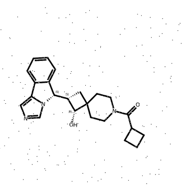 O=C(C1CCC1)N1CCC2(CC1)C[C@@H]([C@H]1c3ccccc3-c3cncn31)[C@H]2O